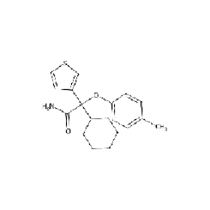 Cc1ccc(OC(C(N)=O)(c2ccsc2)C2CCCCC2)cc1